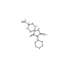 C=C1N(C2CCCCC2)C(=O)OC12CCN(C=O)CC2